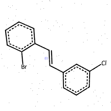 Clc1cc[c]c(/C=C/c2ccccc2Br)c1